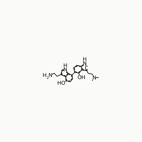 CN(C)CCc1c[nH]c2ccc(-c3ccc(O)c4c(CCN)c[nH]c34)c(O)c12